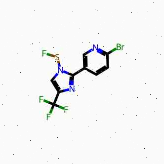 FSn1cc(C(F)(F)F)nc1-c1ccc(Br)nc1